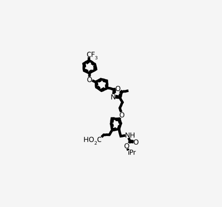 Cc1oc(-c2ccc(Oc3ccc(C(F)(F)F)cc3)cc2)nc1CCOc1ccc(CCC(=O)O)c(CNC(=O)OC(C)C)c1